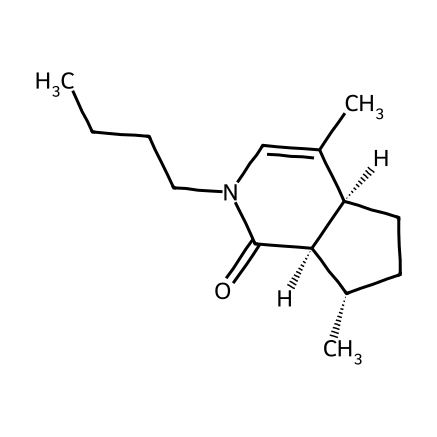 CCCCN1C=C(C)[C@H]2CC[C@H](C)[C@H]2C1=O